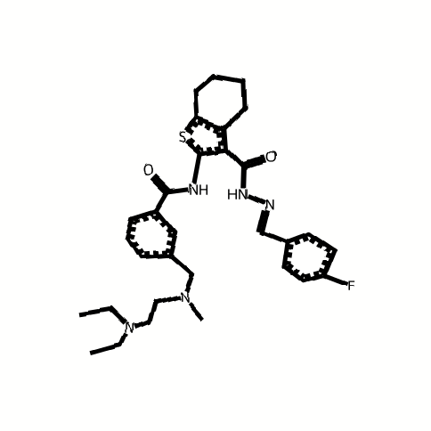 CCN(CC)CCN(C)Cc1cccc(C(=O)Nc2sc3c(c2C(=O)NN=Cc2ccc(F)cc2)CCCC3)c1